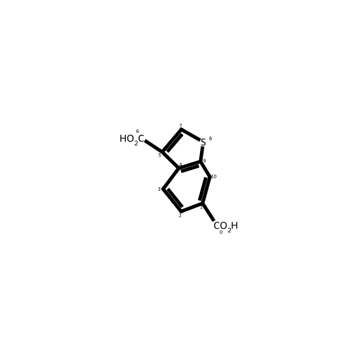 O=C(O)c1ccc2c(C(=O)O)csc2c1